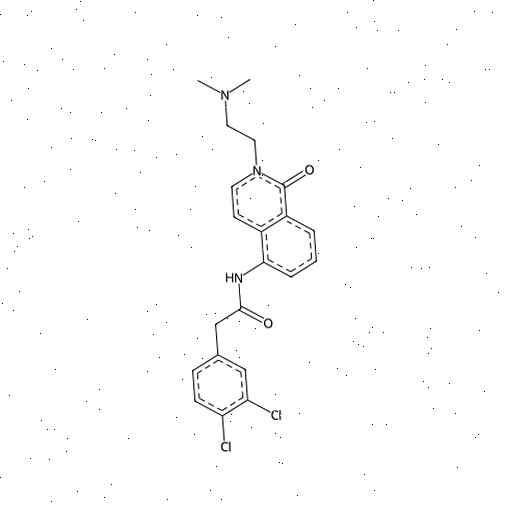 CN(C)CCn1ccc2c(NC(=O)Cc3ccc(Cl)c(Cl)c3)cccc2c1=O